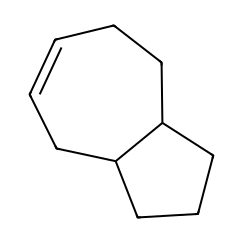 C1=CCC2CCCC2CC1